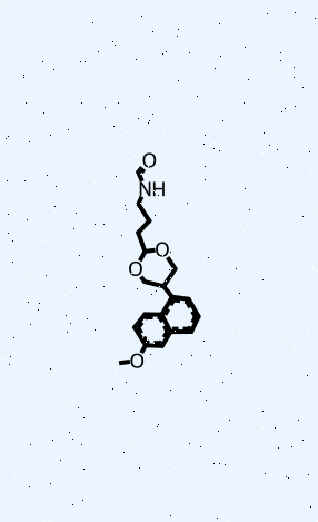 COc1ccc2c(C3COC(CCCNC=O)OC3)cccc2c1